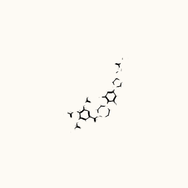 COC(=S)NC[C@H]1CN(c2cc(F)c(N3CCON(C(=O)c4cc(OC(C)=O)c(OC(C)=O)c(OC(C)=O)c4)CC3)c(F)c2)CO1